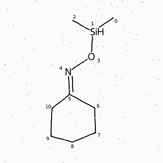 C[SiH](C)ON=C1CCCCC1